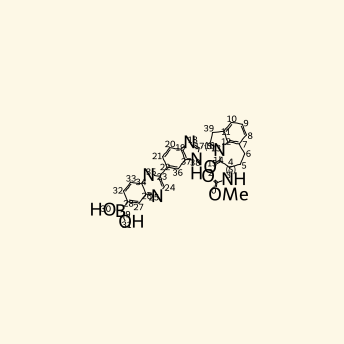 COC(=O)N[C@H]1CCc2cccc3c2N(C1=O)[C@H](c1nc2ccc(-c4cnc5cc(B(O)O)ccc5n4)cc2[nH]1)C3